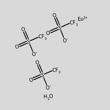 O.O=S(=O)([O-])C(F)(F)F.O=S(=O)([O-])C(F)(F)F.O=S(=O)([O-])C(F)(F)F.[Eu+3]